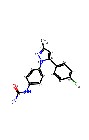 NC(=O)Nc1ccc(-n2nc(C(F)(F)F)cc2-c2ccc(Cl)cc2)cc1